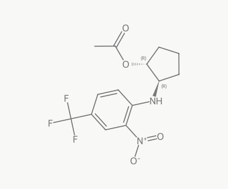 CC(=O)O[C@@H]1CCC[C@H]1Nc1ccc(C(F)(F)F)cc1[N+](=O)[O-]